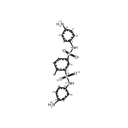 Cc1ccc(S(=O)(=O)Nc2ccc(N)cc2)cc1S(=O)(=O)Nc1ccc(N)cc1